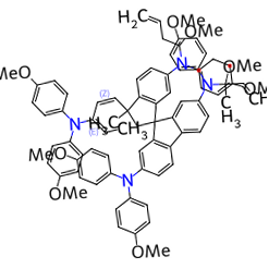 C=CCC(OC)N(C1=CC=C(OC)CC1)c1ccc2c(c1)C1(CC2(C)/C=C\C(=C/C)N(c2ccc(OC)cc2)c2ccc(OC)cc2)c2cc(N(c3ccc(OC)cc3)c3ccc(OC)cc3)ccc2-c2ccc(N(c3ccc(OC)cc3)C(C)(C=C)OC)cc21